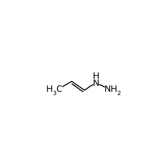 C/C=C/NN